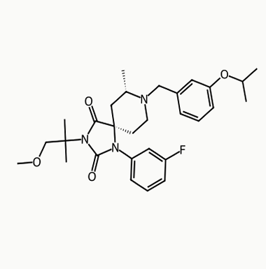 COCC(C)(C)N1C(=O)N(c2cccc(F)c2)[C@@]2(CCN(Cc3cccc(OC(C)C)c3)[C@@H](C)C2)C1=O